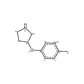 Cc1ccc(OC2CCNC2)cn1